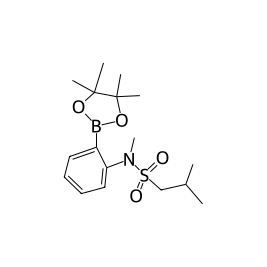 CC(C)CS(=O)(=O)N(C)c1ccccc1B1OC(C)(C)C(C)(C)O1